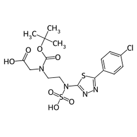 CC(C)(C)OC(=O)N(CCN(c1nnc(-c2ccc(Cl)cc2)s1)S(=O)(=O)O)CC(=O)O